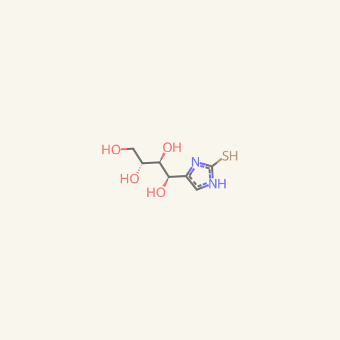 OC[C@@H](O)[C@@H](O)[C@H](O)c1c[nH]c(S)n1